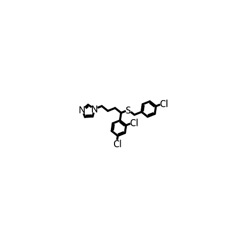 Clc1ccc(CSC(CCCn2ccnc2)c2ccc(Cl)cc2Cl)cc1